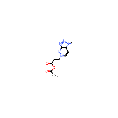 Cn1nnc2n[n+](CCC(=O)OC(=O)C(F)(F)F)ccc21